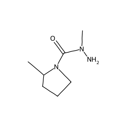 CC1CCCN1C(=O)N(C)N